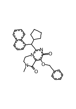 CN1CCn2c(C(c3cccc4ccccc34)C3CCCC3)nc(=O)c(OCc3ccccc3)c2C1=O